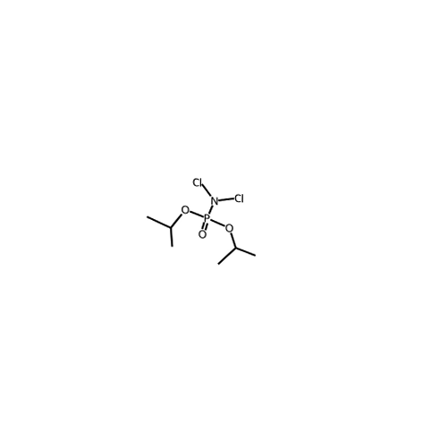 CC(C)OP(=O)(OC(C)C)N(Cl)Cl